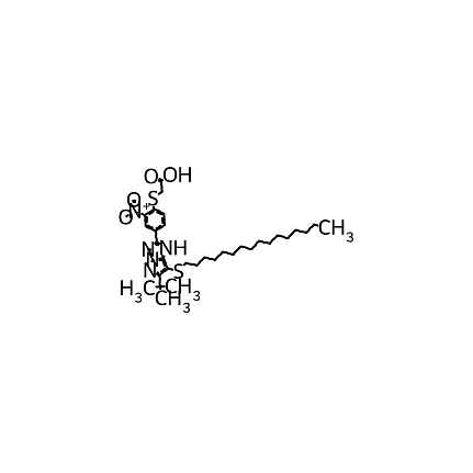 CCCCCCCCCCCCCCCCSc1c(C(C)(C)C)nn2nc(-c3ccc(SCC(=O)O)c([N+](=O)[O-])c3)[nH]c12